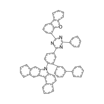 c1ccc(-c2cccc(-c3cc(-c4nc(-c5ccccc5)nc(-c5cccc6c5oc5ccccc56)n4)ccc3-n3c4cc5ccccc5cc4c4c5ccccc5ccc43)c2)cc1